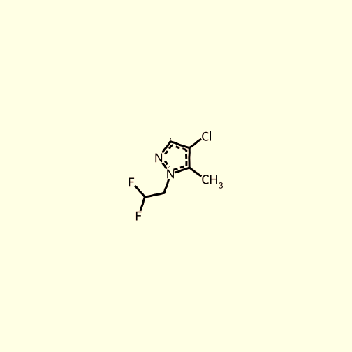 Cc1c(Cl)[c]nn1CC(F)F